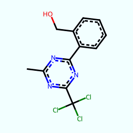 Cc1nc(-c2ccccc2CO)nc(C(Cl)(Cl)Cl)n1